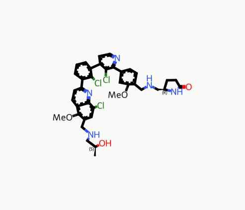 COc1cc(-c2nccc(-c3cccc(-c4ccc5c(OC)c(CNC[C@H](C)O)cc(Cl)c5n4)c3Cl)c2Cl)ccc1CNC[C@H]1CCC(=O)N1